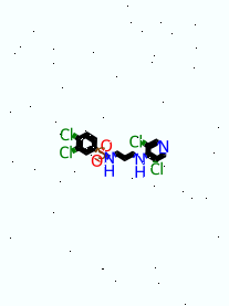 O=S(=O)(NCCCNc1c(Cl)cncc1Cl)c1ccc(Cl)c(Cl)c1